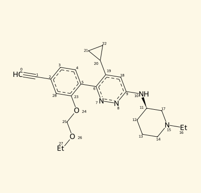 C#Cc1ccc(-c2nnc(N[C@@H]3CCCN(CC)C3)cc2C2CC2)c(OCOCC)c1